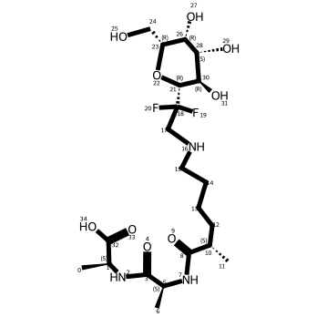 C[C@H](NC(=O)[C@H](C)NC(=O)[C@@H](C)CCCCNCC(F)(F)[C@@H]1O[C@H](CO)[C@H](O)[C@H](O)[C@H]1O)C(=O)O